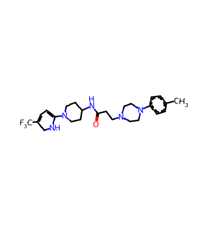 Cc1ccc(N2CCN(CCC(=O)NC3CCN(C4=CC=C(C(F)(F)F)CN4)CC3)CC2)cc1